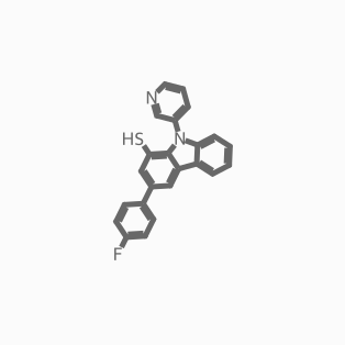 Fc1ccc(-c2cc(S)c3c(c2)c2ccccc2n3-c2cccnc2)cc1